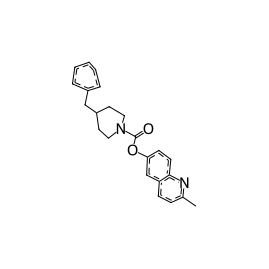 Cc1ccc2cc(OC(=O)N3CCC(Cc4ccccc4)CC3)ccc2n1